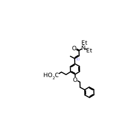 CCN(CC)C(=O)/C=C(\C)c1ccc(OCCc2ccccc2)c(CCC(=O)O)c1